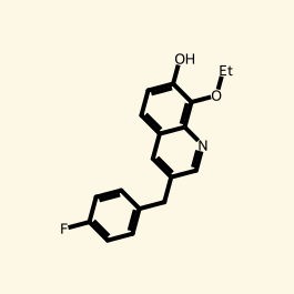 CCOc1c(O)ccc2cc(Cc3ccc(F)cc3)cnc12